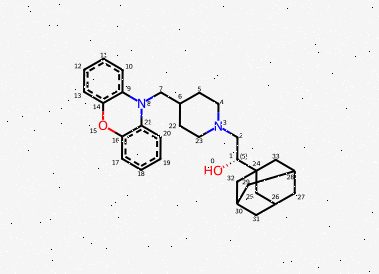 O[C@H](CN1CCC(CN2c3ccccc3Oc3ccccc32)CC1)C12CC3CC(CC(C3)C1)C2